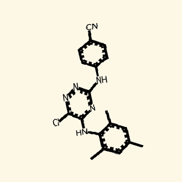 Cc1cc(C)c(Nc2nc(Nc3ccc(C#N)cc3)nnc2Cl)c(C)c1